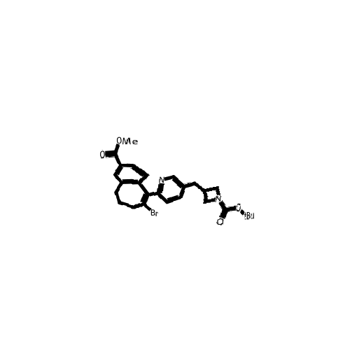 COC(=O)c1ccc2c(c1)CCCC(Br)=C2c1ccc(CC2CN(C(=O)OC(C)(C)C)C2)cn1